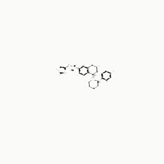 O=S(=O)(Nc1ncns1)c1ccc2c(c1)CCC[C@H]2N1CCCC[C@@H]1c1ccccc1